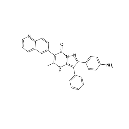 Cc1[nH]c2c(-c3ccccc3)c(-c3ccc(N)cc3)nn2c(=O)c1-c1ccc2ncccc2c1